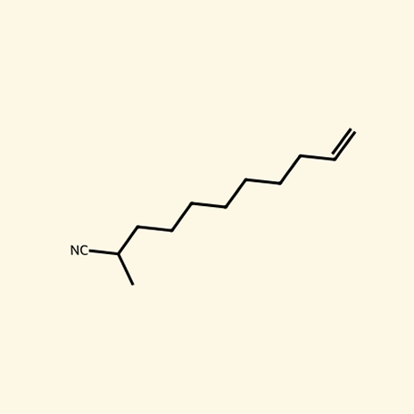 C=CCCCCCCCC(C)C#N